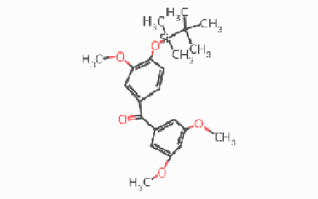 COc1cc(OC)cc(C(=O)c2ccc(O[Si](C)(C)C(C)(C)C)c(OC)c2)c1